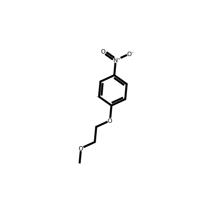 COCCOc1[c]cc([N+](=O)[O-])cc1